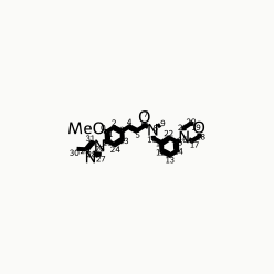 COc1cc(/C=C/C(=O)N(C)Cc2cccc(N3CCOCC3)c2)ccc1-n1cnc(C)c1